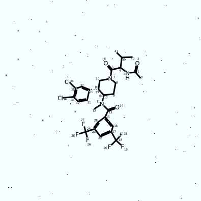 CC(=O)NC(C(=O)N1CC[C@@H](N(C)C(=O)c2cc(C(F)(F)F)cc(C(F)(F)F)c2)[C@H](c2ccc(Cl)c(Cl)c2)C1)C(C)C